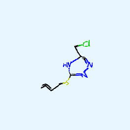 C=CCSc1nnc(CCl)[nH]1